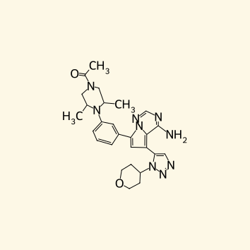 CC(=O)N1CC(C)N(c2cccc(-c3cc(-c4cnnn4C4CCOCC4)c4c(N)ncnn34)c2)C(C)C1